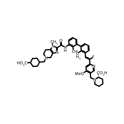 COc1cc(/C(F)=C/c2cccc(-c3cccc(NC(=O)c4nc5c(n4C)CCN(CC4CCC(C(=O)O)CC4)C5)c3C)c2C)ncc1CN1CCCC[C@H]1C(=O)O